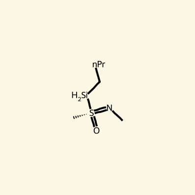 CCCC[SiH2][S@](C)(=O)=NC